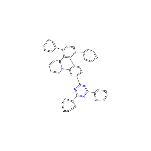 C1=CB2c3c(-c4ccccc4)ccc(-c4ccccc4)c3-c3ccc(-c4nc(-c5ccccc5)nc(-c5ccccc5)n4)cc3N2C=C1